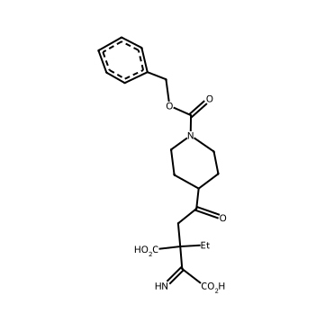 CCC(CC(=O)C1CCN(C(=O)OCc2ccccc2)CC1)(C(=N)C(=O)O)C(=O)O